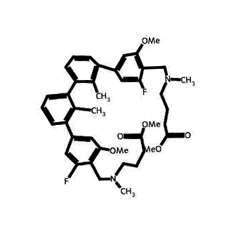 COC(=O)CCCN(C)Cc1c(F)cc(-c2cccc(-c3cccc(-c4cc(F)c(CN(C)CCCC(=O)OC)c(OC)c4)c3C)c2C)cc1OC